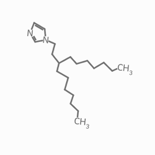 CCCCCCCC(CCCCCCC)CCn1ccnc1